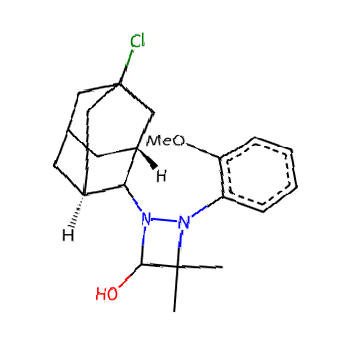 COc1ccccc1N1N(C2[C@@H]3CC4C[C@H]2CC(Cl)(C4)C3)C(O)C1(C)C